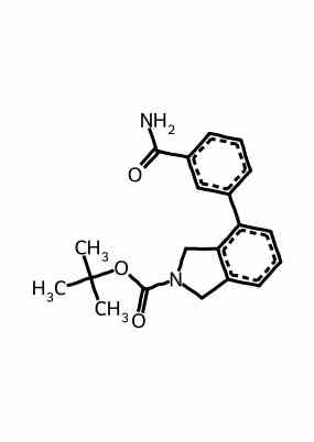 CC(C)(C)OC(=O)N1Cc2cccc(-c3cccc(C(N)=O)c3)c2C1